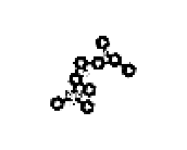 c1ccc(-c2ccc3c(c2)c2ccc(-c4cccc5c4oc4c(-c6ccccc6)c(-c6nc(-c7ccccc7)nc(-c7ccccc7)n6)ccc45)cc2n3-c2ccccc2)cc1